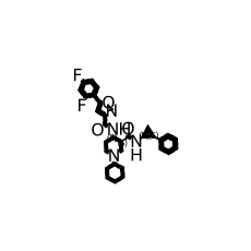 O=C(N[C@H]1CCN(C2CCCCC2)C[C@@H]1C(=O)N[C@@H]1C[C@H]1c1ccccc1)c1cc(-c2ccc(F)cc2F)on1